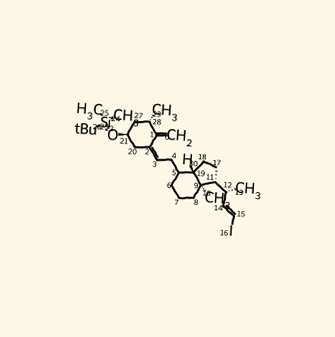 C=C1/C(=C\CC2CCC[C@]3(C)[C@@H]([C@H](C)/C=C/I)CC[C@@H]23)C[C@@H](O[Si](C)(C)C(C)(C)C)C[C@@H]1C